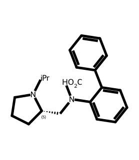 CC(C)N1CCC[C@H]1CN(C(=O)O)c1ccccc1-c1ccccc1